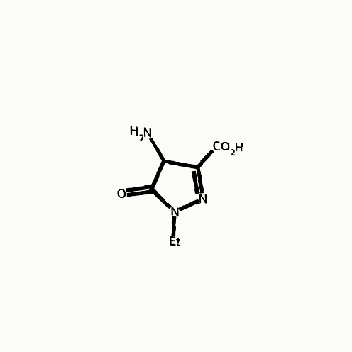 CCN1N=C(C(=O)O)C(N)C1=O